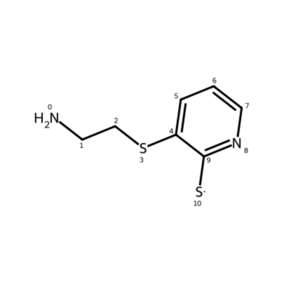 NCCSc1cccnc1[S]